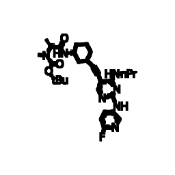 CCCNc1nc(Nc2ccc(F)nc2)ncc1C#CC1CCC[C@H](NC(=O)[C@H](C)N(C)C(=O)OC(C)(C)C)C1